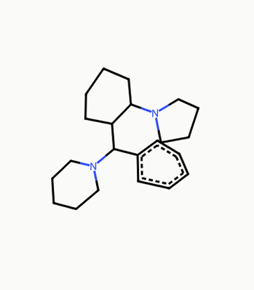 c1ccc(C(C2CCCCC2N2CCCC2)N2CCCCC2)cc1